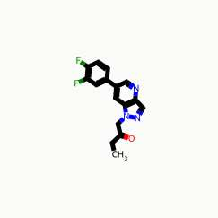 CCC(=O)Cn1ncc2ncc(-c3ccc(F)c(F)c3)cc21